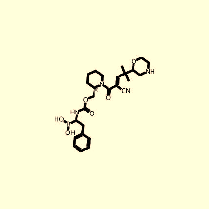 CC(C)(C=C(C#N)C(=O)N1CCCC[C@@H]1COC(=O)NC(Cc1ccccc1)B(O)O)C1CNCCO1